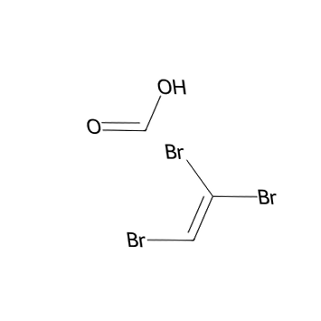 BrC=C(Br)Br.O=CO